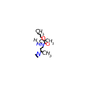 CCCCOC(C)(C)C(=O)NCCC(C)N1CC1